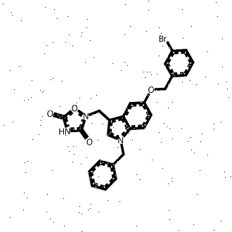 O=c1[nH]c(=O)n(Cc2cn(Cc3ccccc3)c3ccc(OCc4cccc(Br)c4)cc23)o1